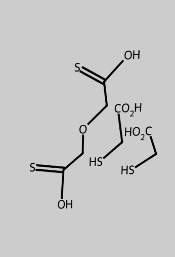 O=C(O)CS.O=C(O)CS.OC(=S)COCC(O)=S